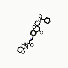 O=C(/C=C/c1ccc2c(c1)C(=O)CC1(CCN(C(=O)c3ccccc3)C1)O2)NOC1CCCCO1